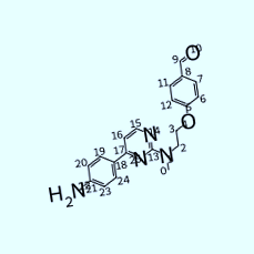 CN(CCOc1ccc(C=O)cc1)c1nccc(-c2ccc(N)cc2)n1